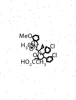 COc1cccc(CN(CC(C2CC2)N2C(=O)[C@@](C)(CC(=O)O)CC(c3cccc(Cl)c3)C2c2ccc(Cl)cc2)S(C)(=O)=O)c1